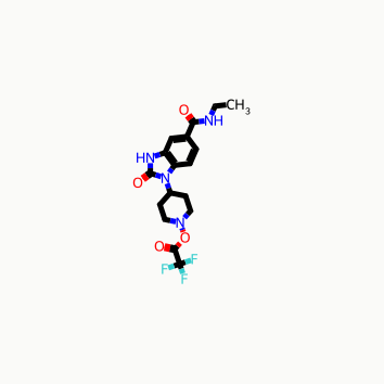 CCNC(=O)c1ccc2c(c1)[nH]c(=O)n2C1CCN(OC(=O)C(F)(F)F)CC1